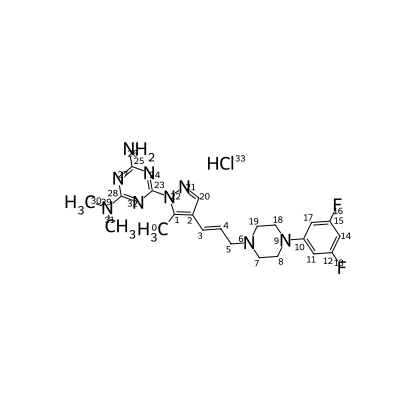 Cc1c(/C=C/CN2CCN(c3cc(F)cc(F)c3)CC2)cnn1-c1nc(N)nc(N(C)C)n1.Cl